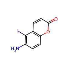 Nc1ccc2oc(=O)ccc2c1I